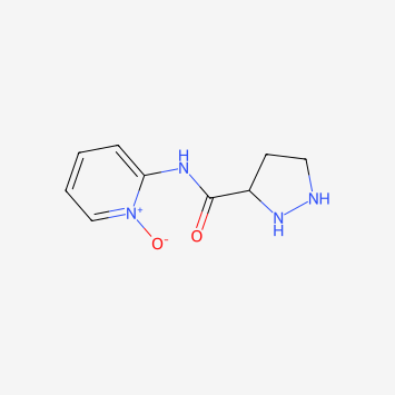 O=C(Nc1cccc[n+]1[O-])C1CCNN1